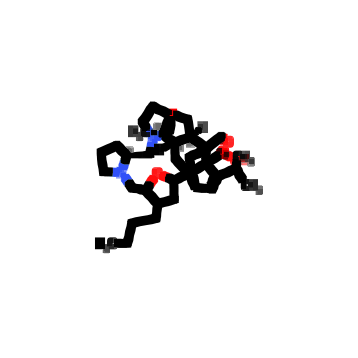 CCCCC1CC(C23C[C@@H]4[C@H](C)CC[C@H]4C4(C=O)CC2C=C(C(C)C)C34C(=O)O)OC1CN1CCC[C@H]1CN1CCCC1